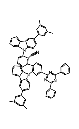 Cc1cc(C)cc(-c2ccc3c(c2)c2ccccc2n3-c2cc(-c3nc(-c4ccccc4)nc(-c4ccccc4)n3)ccc2-c2cccc(-n3c4ccccc4c4cc(-c5cc(C)cc(C)c5)ccc43)c2C#N)c1